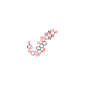 C[C@@H]1O[C@@H](O[C@H]2CC[C@H](O[C@@]3(C)CC(=O)c4c(ccc5c4C(=O)c4ccc([C@H]6C[C@H]7O[C@H]8CC(=O)[C@H](C)O[C@H]8O[C@@H]7[C@@H](C)O6)c(O)c4C5=O)C3)O[C@H]2C)C=CC1=O